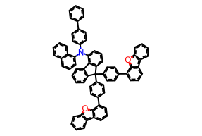 c1ccc(-c2ccc(N(c3cccc4c3-c3ccccc3C4(c3ccc(-c4cccc5c4oc4ccccc45)cc3)c3ccc(-c4cccc5c4oc4ccccc45)cc3)c3cccc4ccccc34)cc2)cc1